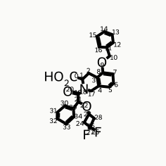 O=C(O)C1Cc2c(cccc2OCc2ccccc2)CN1C(=O)C(OC1CC(F)(F)C1)c1ccccc1